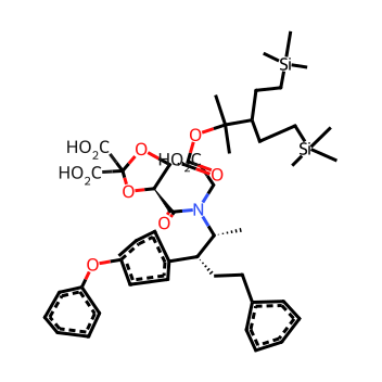 C[C@H]([C@H](CCc1ccccc1)c1ccc(Oc2ccccc2)cc1)N(CC(=O)O)C(=O)[C@H]1OC(C(=O)O)(C(=O)O)O[C@@H]1C(=O)OC(C)(C)C(CC[Si](C)(C)C)CC[Si](C)(C)C